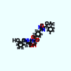 CC(=O)OC(c1ccccc1)c1nc(-c2ccc(S(=O)(=O)N(CC(C)C)C[C@H](O)[C@H](Cc3ccccc3)NC(=O)O)cc2)no1